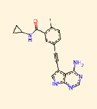 Cc1ccc(C#Cc2c[nH]c3ncnc(N)c23)cc1C(=O)NC1CC1